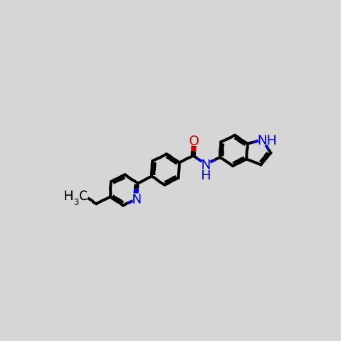 CCc1ccc(-c2ccc(C(=O)Nc3ccc4[nH]ccc4c3)cc2)nc1